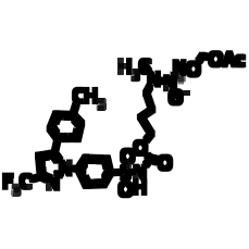 CC(=O)OCON=[N+]([O-])N(C)CCCCOC(=O)NS(=O)(=O)c1ccc(-n2nc(C(F)(F)F)cc2-c2ccc(C)cc2)cc1